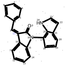 O=C1/C(=C\c2ccccc2)c2ccccc2N1c1cccc2cc[nH]c12